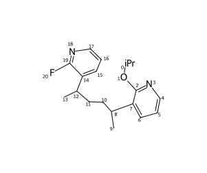 CC(C)Oc1ncccc1C(C)CCC(C)c1cccnc1F